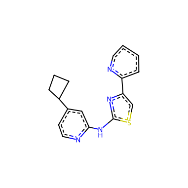 c1ccc(-c2csc(Nc3cc(C4CCC4)ccn3)n2)nc1